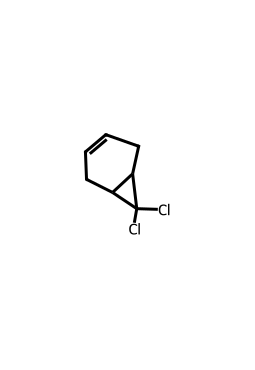 ClC1(Cl)C2CC=CCC21